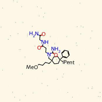 CCCC(C)[C@]1(c2ccccc2)CC[C@@](CCCCOC)(CN(CCC(=O)NCC(N)=O)C(N)=O)CC1